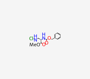 COC(=O)[C@@H](CNCl)NC(=O)OCc1ccccc1